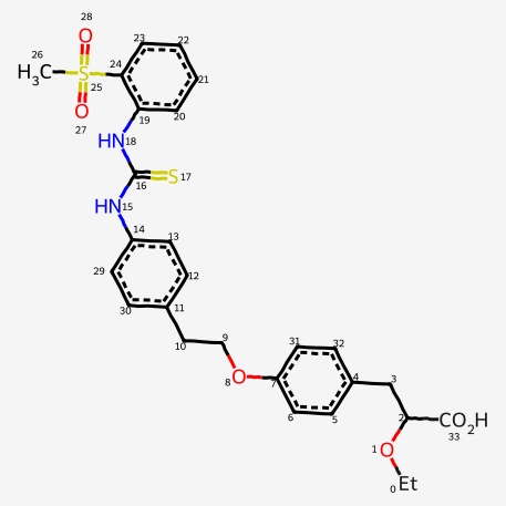 CCOC(Cc1ccc(OCCc2ccc(NC(=S)Nc3ccccc3S(C)(=O)=O)cc2)cc1)C(=O)O